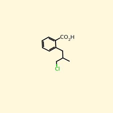 CC(CCl)Cc1ccccc1C(=O)O